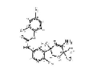 CC1(c2nc(NC(=O)Oc3ncc(Cl)cc3Cl)ccc2F)COC(C)(C(F)(F)F)C(N)=N1